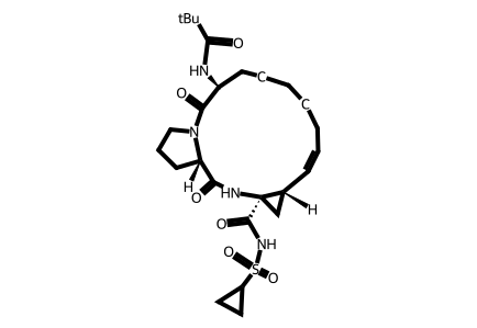 CC(C)(C)C(=O)N[C@H]1CCCCC/C=C\[C@@H]2C[C@@]2(C(=O)NS(=O)(=O)C2CC2)NC(=O)[C@@H]2CCCN2C1=O